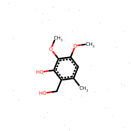 COc1cc(C)c(CO)c(O)c1OC